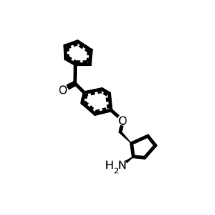 N[C@@H]1CCC[C@@H]1COc1ccc(C(=O)c2ccccc2)cc1